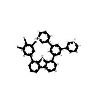 Cc1cc(-c2cccc3c2oc2c(-c4cc(-c5cccnc5)cc(-c5cccnc5)c4)cccc23)cc(C)c1C